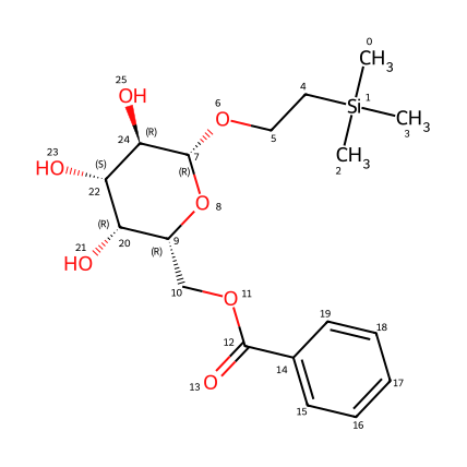 C[Si](C)(C)CCO[C@@H]1O[C@H](COC(=O)c2ccccc2)[C@H](O)[C@H](O)[C@H]1O